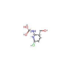 O=Cc1ccc(Cl)nc1NC(=O)O